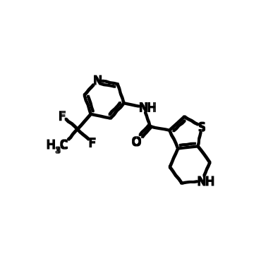 CC(F)(F)c1cncc(NC(=O)c2csc3c2CCNC3)c1